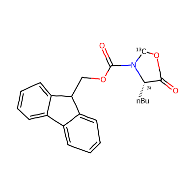 CCCC[C@H]1C(=O)O[13CH2]N1C(=O)OCC1c2ccccc2-c2ccccc21